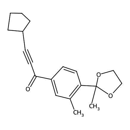 Cc1cc(C(=O)C#CC2CCCC2)ccc1C1(C)OCCO1